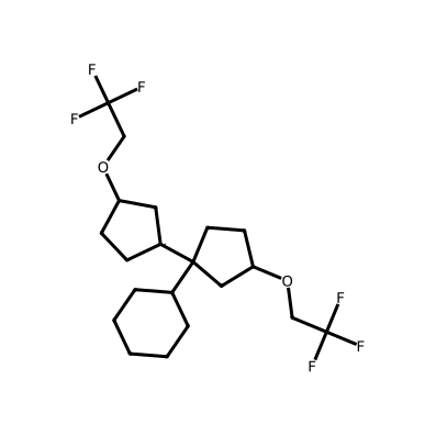 FC(F)(F)COC1CC[C](C2(C3CCCCC3)CCC(OCC(F)(F)F)C2)C1